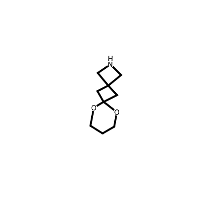 C1COC2(CC3(CNC3)C2)OC1